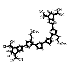 [C-]#[N+]/C(C#N)=C1\c2sc(-c3cc(CCCCCCCCCCCC)c(-c4ccc(-c5ccc(-c6sc(-c7cc8c(s7)/C(=C(\C#N)[N+]#[C-])C(F)(F)/C8=C(/C#N)[N+]#[C-])cc6CCCCCCCCCCCC)s5)s4)s3)cc2/C(=C(/C#N)[N+]#[C-])C1(F)F